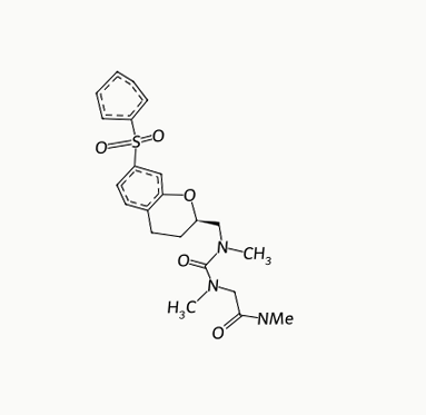 CNC(=O)CN(C)C(=O)N(C)C[C@H]1CCc2ccc(S(=O)(=O)c3ccccc3)cc2O1